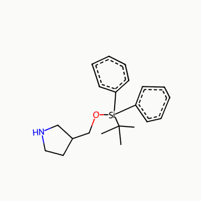 CC(C)(C)[Si](OCC1CCNC1)(c1ccccc1)c1ccccc1